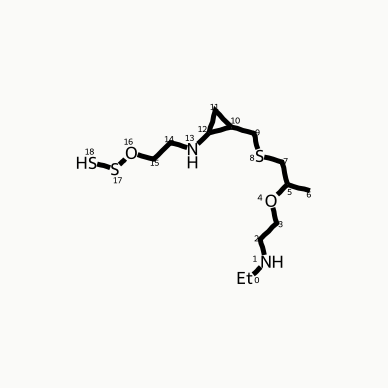 CCNCCOC(C)CSCC1CC1NCCOSS